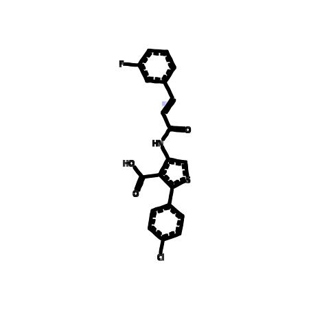 O=C(/C=C/c1cccc(F)c1)Nc1csc(-c2ccc(Cl)cc2)c1C(=O)O